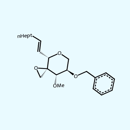 CCCCCCCC=C[C@@H]1OC[C@@H](OCc2ccccc2)[C@H](OC)[C@]12CO2